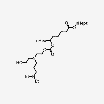 CCCCCCCOC(=O)CCCCC(CCCCCC)OC(=O)OCCN(CCO)CCCN(CC)CC